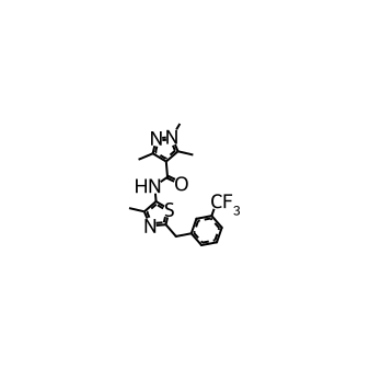 Cc1nc(Cc2cccc(C(F)(F)F)c2)sc1NC(=O)c1c(C)nn(C)c1C